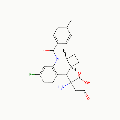 CCc1ccc(C(=O)N2c3cc(F)ccc3C(C(N)(CC=O)C(=O)O)[C@H]3CC[C@H]32)cc1